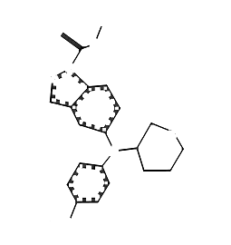 CC(=O)Nc1ccc(N(c2ccc3c(cnn3C(=O)OC(C)(C)C)c2)C2CCCNC2)cc1